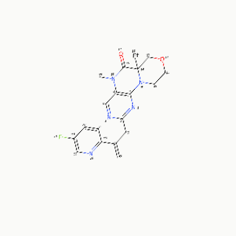 C=C(Cc1ncc2c(n1)N1CCOCC1(CC)C(=O)N2C)c1ccc(F)cn1